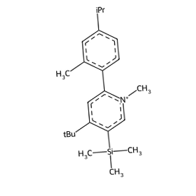 Cc1cc(C(C)C)ccc1-c1cc(C(C)(C)C)c([Si](C)(C)C)c[n+]1C